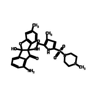 Cc1ccc2c(c1)OC1(O)c3cccc(N)c3C(=O)C21NC(=O)c1[nH]c(S(=O)(=O)N2CCN(C)CC2)cc1C